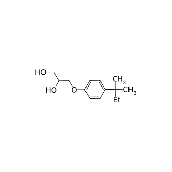 CCC(C)(C)c1ccc(OCC(O)CO)cc1